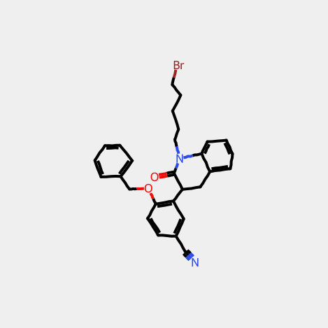 N#Cc1ccc(OCc2ccccc2)c(C2Cc3ccccc3N(CCCCCBr)C2=O)c1